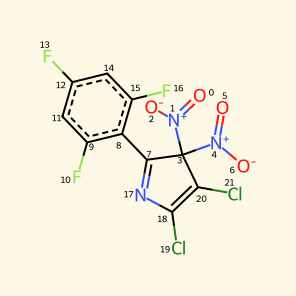 O=[N+]([O-])C1([N+](=O)[O-])C(c2c(F)cc(F)cc2F)=NC(Cl)=C1Cl